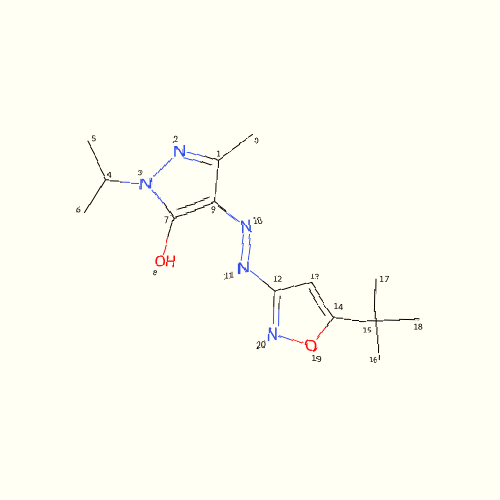 Cc1nn(C(C)C)c(O)c1/N=N/c1cc(C(C)(C)C)on1